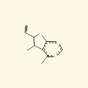 CC1c2c(Cl)ncnc2NC1C=O